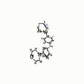 C=NN(/C=C\C)c1ccc(Cc2cnc(N3CCOCC3)s2)cc1